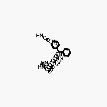 C.C.C.C.C.C.N=C=O.N=C=O.N=C=O.N=C=O.c1ccc(Cc2ccccc2)cc1